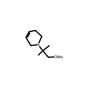 COCC(C)(C)N1CC=CCC1